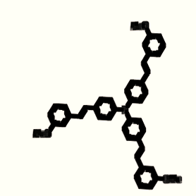 COc1cccc(/C=C/c2ccc(N(c3ccc(/C=C/c4cccc(OC)c4)cc3)c3ccc(/C=C/c4cccc(OC)c4)cc3)cc2)c1